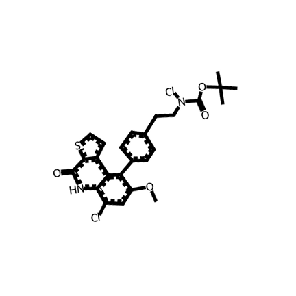 COc1cc(Cl)c2[nH]c(=O)c3sccc3c2c1-c1ccc(CCN(Cl)C(=O)OC(C)(C)C)cc1